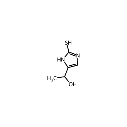 CC(O)c1cnc(S)[nH]1